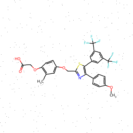 COc1ccc(-c2nc(COc3ccc(OCC(=O)O)c(C)c3)sc2-c2cc(C(F)(F)F)cc(C(F)(F)F)c2)cc1